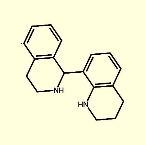 [c]1cccc2c1CCNC2c1cccc2c1NCCC2